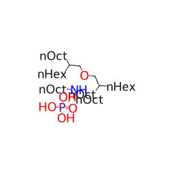 CCCCCCCCC(CCCCCC)COCC(CCCCCC)CCCCCCCC.CCCCCCCCNCCCCCCCC.O=P(O)(O)O